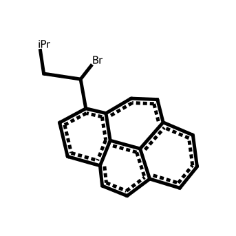 CC(C)CC(Br)c1ccc2ccc3cccc4ccc1c2c34